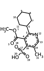 COC(=O)c1c(C2CCCCC2)ncc(C)c1S(=O)(=O)O